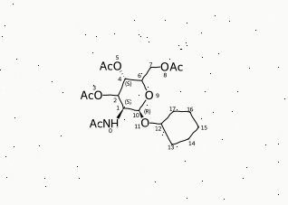 CC(=O)N[C@H]1C(OC(C)=O)[C@H](OC(C)=O)C(COC(C)=O)O[C@H]1OC1CCCCC1